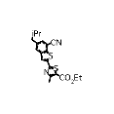 CCOC(=O)c1sc(-c2cc3cc(CC(C)C)cc(C#N)c3s2)nc1C